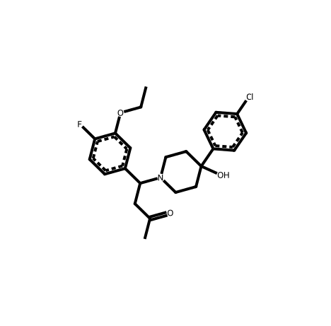 CCOc1cc(C(CC(C)=O)N2CCC(O)(c3ccc(Cl)cc3)CC2)ccc1F